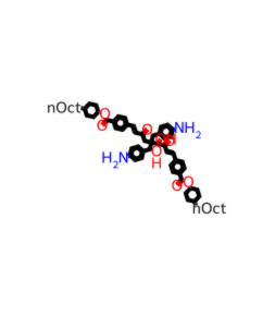 CCCCCCCCC1CCC(OC(=O)c2ccc(/C=C/C(=O)CC(Cc3ccc(N)cc3)(Cc3ccc(N)cc3)C(O)(O)C(=O)/C=C/c3ccc(C(=O)OC4CCC(CCCCCCCC)CC4)cc3)cc2)CC1